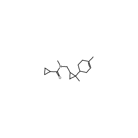 CC1=CCC(C2(C)CC2CN(C)C(=O)C2CC2)CC1